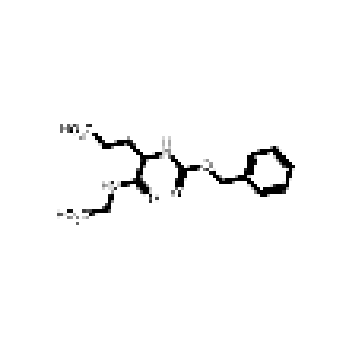 O=C(O)CCC(NC(=O)OCc1ccccc1)C(=O)NCC(=O)O